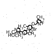 Cc1cc(F)nc(COc2cc(C)n(C3=CC(c4ccnc(C(C)(C)O)n4)=NC[C@H]3C)c(=O)c2Br)c1